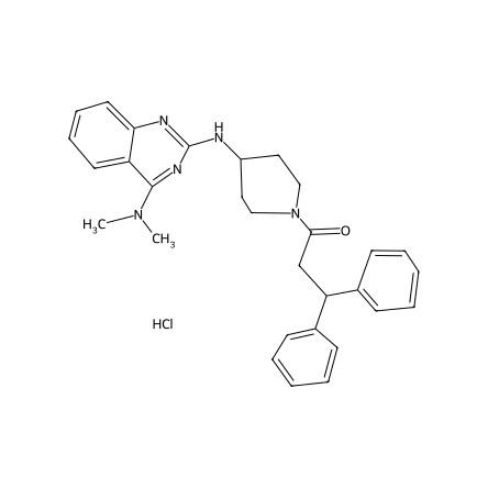 CN(C)c1nc(NC2CCN(C(=O)CC(c3ccccc3)c3ccccc3)CC2)nc2ccccc12.Cl